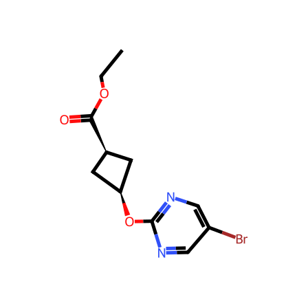 CCOC(=O)[C@H]1C[C@@H](Oc2ncc(Br)cn2)C1